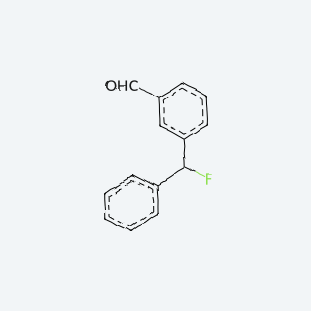 O=Cc1cccc(C(F)c2ccccc2)c1